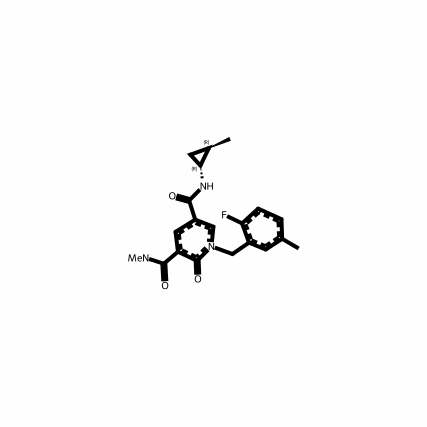 CNC(=O)c1cc(C(=O)N[C@@H]2C[C@H]2C)cn(Cc2cc(C)ccc2F)c1=O